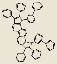 c1ccc(-c2cccc(-n3c(-c4ccccc4)c(-c4ccccc4)c4ccc5c6ccc7c(-c8ccccc8)c(-c8ccccc8)n(-c8cccc(-c9ccccc9)c8)c7c6ccc5c43)c2)cc1